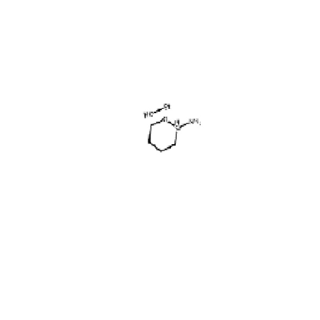 CCO.N[SiH]1CCCCO1